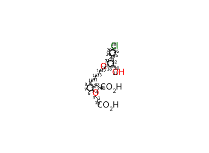 O=C(O)CCCOc1cccc(CCCCCCOc2cc(CO)cc(-c3ccc(Cl)cc3)c2)c1CCC(=O)O